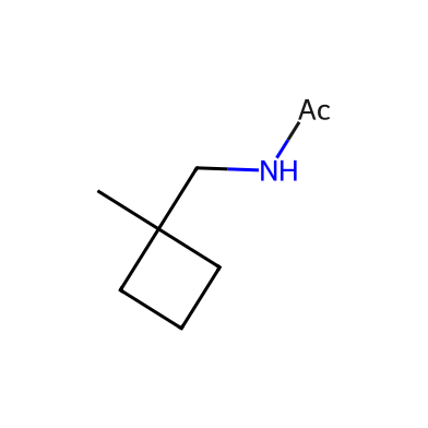 CC(=O)NCC1(C)CCC1